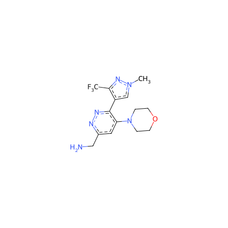 Cn1cc(-c2nnc(CN)cc2N2CCOCC2)c(C(F)(F)F)n1